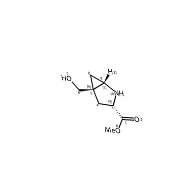 COC(=O)[C@@H]1C[C@]2(CO)C[C@@H]2N1